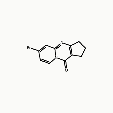 O=c1c2c(nc3cc(Br)ccn13)CCC2